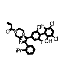 C=CC(=O)N1CCn2c(nc(-c3ccccc3C(C)C)c2-c2cc(F)c(-c3c(O)c(Cl)cc(Cl)c3F)c(Cl)c2)C1